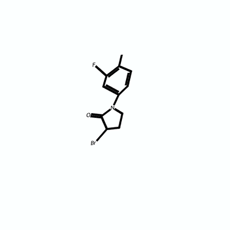 Cc1ccc(N2CCC(Br)C2=O)cc1F